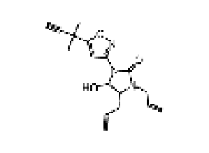 C#CC(C)(C)c1cc(N2C(=O)N(CC=C)C(CC=C)C2O)no1